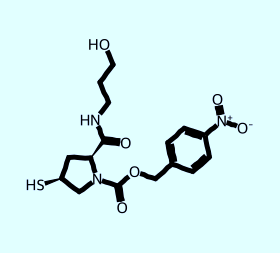 O=C(NCCCO)[C@@H]1C[C@H](S)CN1C(=O)OCc1ccc([N+](=O)[O-])cc1